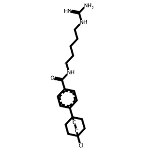 N=C(N)NCCCC[CH]NC(=O)c1ccc(C23CCC(Cl)(CC2)CC3)cc1